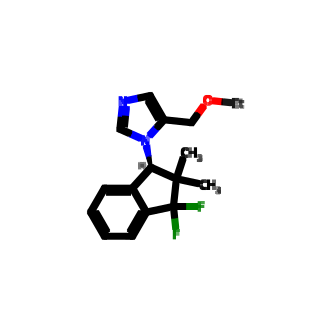 CCOCc1cncn1[C@@H]1c2ccccc2C(F)(F)C1(C)C